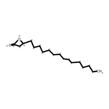 CCCCCCCCCCCCCCCC1CC(=O)O1